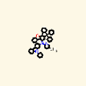 Cc1ccc(N(c2ccc3c4ccccc4n(-c4ccccc4)c3c2)c2cc3c(c4oc5ccccc5c24)-c2ccccc2C3(c2ccccc2)c2ccccc2)nc1